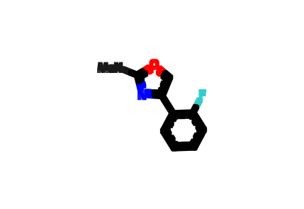 CNc1nc(-c2ccccc2F)co1